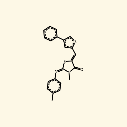 Cc1ccc(/N=C2/S/C(=C\c3cc(-c4ccccc4)cs3)C(=O)N2C)cc1